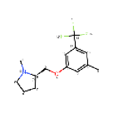 Cc1cc(OC[C@H]2CCCN2C)cc(C(F)(F)F)c1